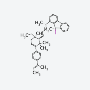 C/C=C(\C)c1ccc(C2=CC[C@@](C)(CC)/C(=C\CC[C@H](C)c3cccc4c3[C@](C)(I)c3ccccc3-4)C2(C)C)cc1